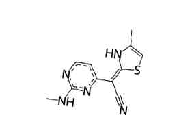 CNc1nccc(C(C#N)=C2NC(C)=CS2)n1